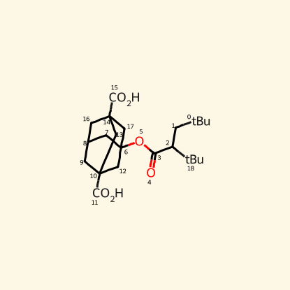 CC(C)(C)CC(C(=O)OC12CC3CC(C(=O)O)(C1)CC(C(=O)O)(C3)C2)C(C)(C)C